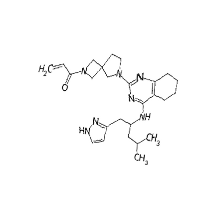 C=CC(=O)N1CC2(CCN(c3nc4c(c(NC(Cc5cc[nH]n5)CC(C)C)n3)CCCC4)C2)C1